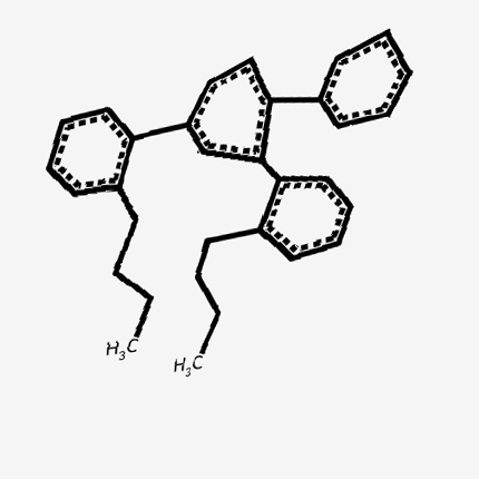 CCCCc1ccccc1-c1[c]c(-c2ccccc2CCCC)c(-c2ccccc2)cc1